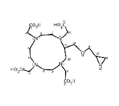 O=C(O)CN1CCN(CC(=O)O)CCN(CC(=O)O)C(COCC2CO2)CN(CC(=O)O)CC1